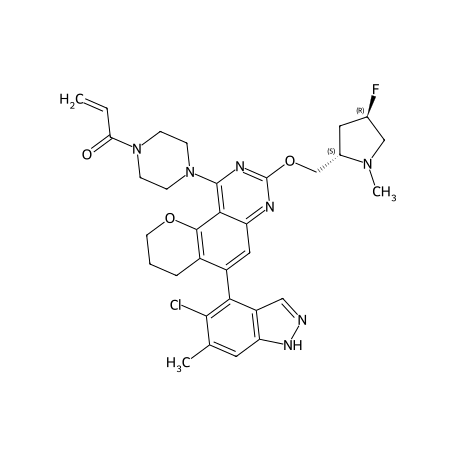 C=CC(=O)N1CCN(c2nc(OC[C@@H]3C[C@@H](F)CN3C)nc3cc(-c4c(Cl)c(C)cc5[nH]ncc45)c4c(c23)OCCC4)CC1